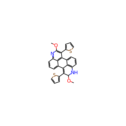 COc1nc2cccc3c4c5c(cccc5c(c1-c1cccs1)c23)NC(OC)C=4c1cccs1